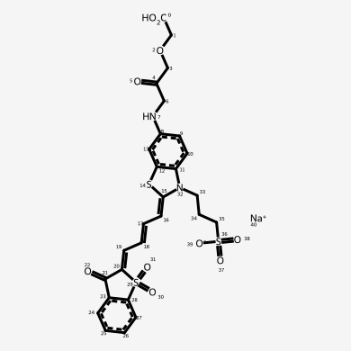 O=C(O)COCC(=O)CNc1ccc2c(c1)SC(=CC=CC=C1C(=O)c3ccccc3S1(=O)=O)N2CCCS(=O)(=O)[O-].[Na+]